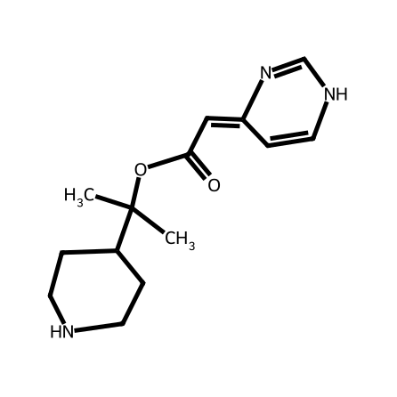 CC(C)(OC(=O)/C=C1\C=CNC=N1)C1CCNCC1